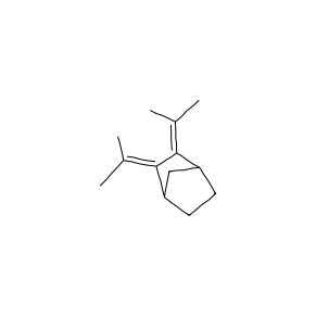 CC(C)=C1C(=C(C)C)C2CCC1C2